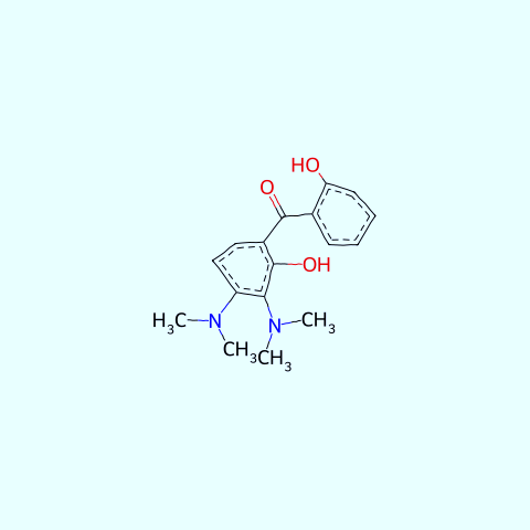 CN(C)c1ccc(C(=O)c2ccccc2O)c(O)c1N(C)C